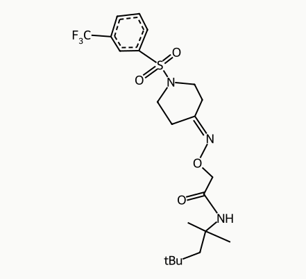 CC(C)(C)CC(C)(C)NC(=O)CON=C1CCN(S(=O)(=O)c2cccc(C(F)(F)F)c2)CC1